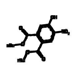 CCCCOC(=O)c1cc(O)c([N+](=O)[O-])cc1C(=O)OCCCC